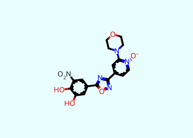 O=[N+]([O-])c1cc(-c2nc(-c3cc[n+]([O-])c(N4CCOCC4)c3)no2)cc(O)c1O